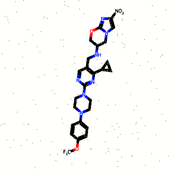 O=[N+]([O-])c1cn2c(n1)OCC(NCc1cnc(N3CCN(c4ccc(OC(F)(F)F)cc4)CC3)nc1C1CC1)C2